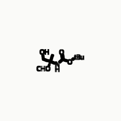 CC(C)(C)OC(=O)N[C@](C)(C=O)CO